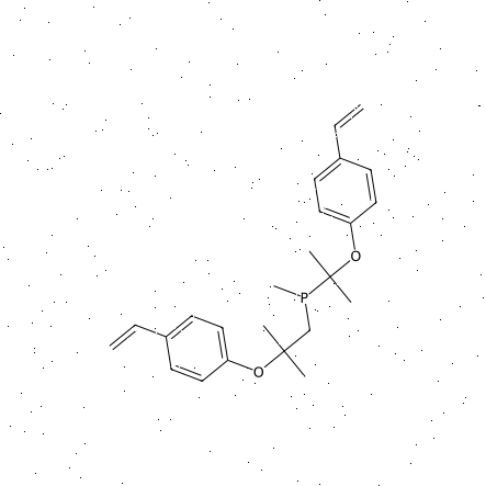 C=Cc1ccc(OC(C)(C)CP(C)C(C)(C)Oc2ccc(C=C)cc2)cc1